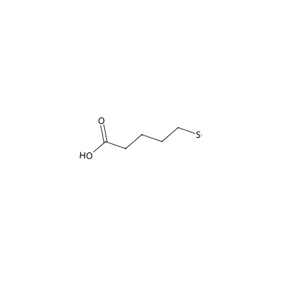 O=C(O)CCCC[S]